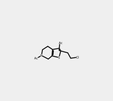 CC(=O)c1c(CCCl)sc2c1CCN(C(C)=O)C2